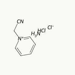 Cl.N.N#CC[n+]1ccccc1.[Cl-]